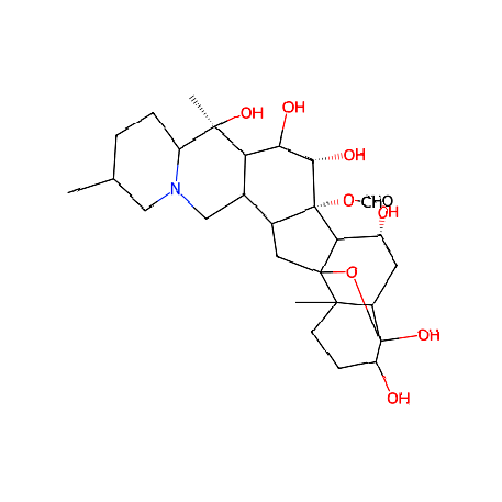 CC1CCC2N(C1)CC1C(C(O)[C@H](O)[C@]3(OC=O)C1CC14OC5(O)C(O)CCC1(C)C5C[C@@H](O)C43)[C@]2(C)O